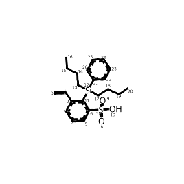 C=Cc1cccc(S(=O)(=O)O)c1[Si](CCCC)(CCCC)c1ccccc1